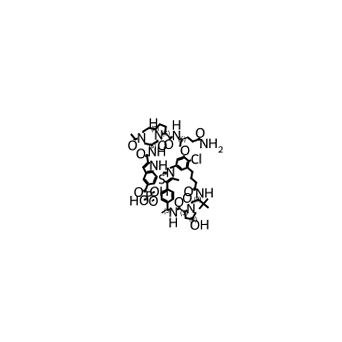 CC(=O)N1CC[C@H]2CC[C@@H](C(=O)N[C@@H](CCC(N)=O)COc3cc(C)cc(CCCC(=O)N[C@H](C(=O)N4C[C@H](O)C[C@H]4C(=O)N[C@@H](C)c4ccc(-c5scnc5C)cc4)C(C)(C)C)c3Cl)N2C(=O)[C@@H](NC(=O)c2cc3cc(C(=O)P(=O)(O)O)ccc3[nH]2)C1